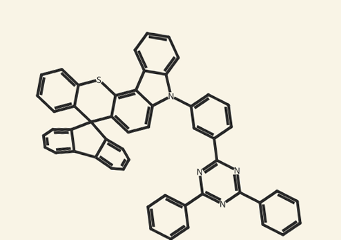 c1ccc(-c2nc(-c3ccccc3)nc(-c3cccc(-n4c5ccccc5c5c6c(ccc54)C4(c5ccccc5S6)c5ccccc5-c5ccccc54)c3)n2)cc1